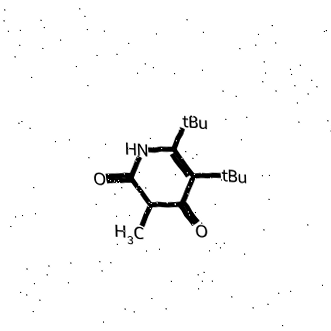 CC1C(=O)NC(C(C)(C)C)=C(C(C)(C)C)C1=O